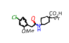 COc1cc(Cl)ccc1CC(=O)NC1CCC(C(=O)O)(C(C)C)CC1